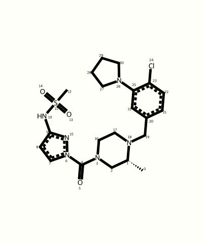 C[C@@H]1CN(C(=O)n2ccc(NS(C)(=O)=O)n2)CCN1Cc1ccc(Cl)c(N2CCCC2)c1